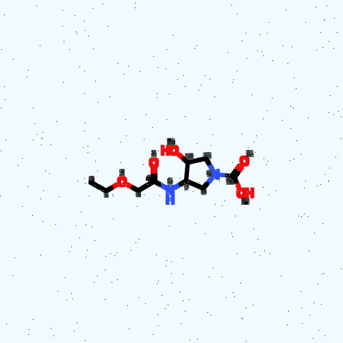 CCOCC(=O)NC1CN(C(=O)O)CC1O